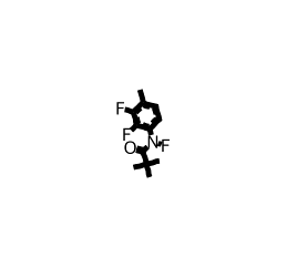 Cc1ccc(N(F)C(=O)C(C)(C)C)c(F)c1F